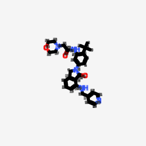 CC(C)(C)c1ccc(N2Cc3cccc(NCc4ccncc4)c3C2=O)cc1NC(=O)CN1CCOCC1